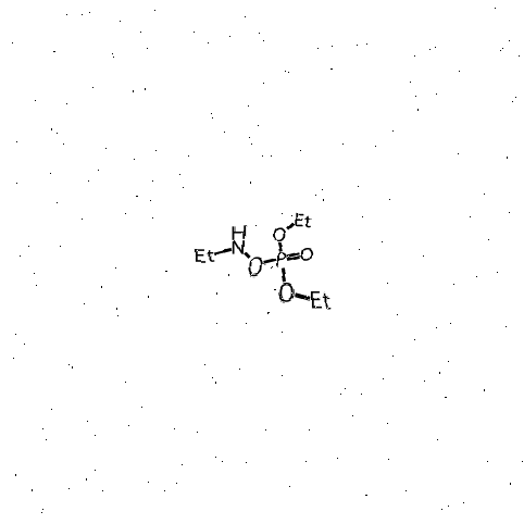 CCNOP(=O)(OCC)OCC